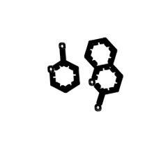 O=c1ccc2ccccc2o1.O=c1cccco1